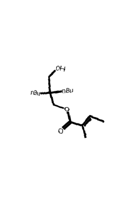 CC=C(C)C(=O)OCC(CO)(CCCC)CCCC